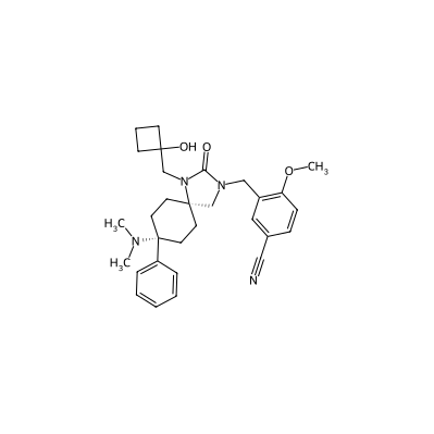 COc1ccc(C#N)cc1CN1C[C@]2(CC[C@@](c3ccccc3)(N(C)C)CC2)N(CC2(O)CCC2)C1=O